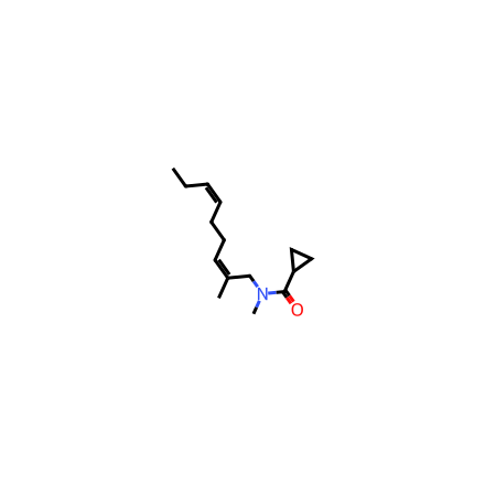 CC/C=C\CC/C=C(/C)CN(C)C(=O)C1CC1